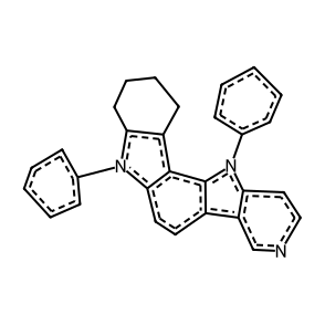 c1ccc(-n2c3c(c4c2ccc2c5cnccc5n(-c5ccccc5)c24)CCCC3)cc1